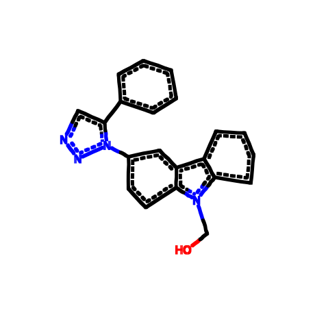 OCn1c2ccccc2c2cc(-n3nncc3-c3ccccc3)ccc21